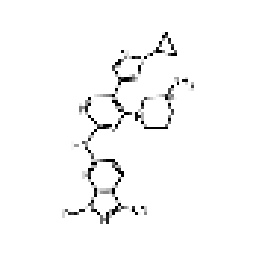 CC(C)n1nc(C#N)c2ccc(Nc3cc(N4CCC[C@H](N)C4)c(-c4cnn(C5CC5)c4)cn3)nc21